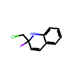 ClCC1(I)C=Cc2ccccc2N1